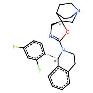 Fc1ccc([C@H]2c3ccccc3CCN2C2=NC[C@@]3(CN4CCC3CC4)O2)c(F)c1